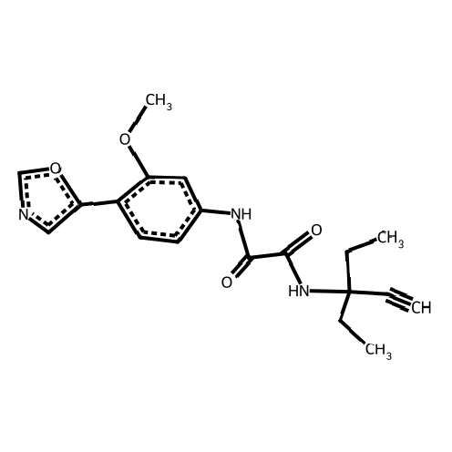 C#CC(CC)(CC)NC(=O)C(=O)Nc1ccc(-c2cnco2)c(OC)c1